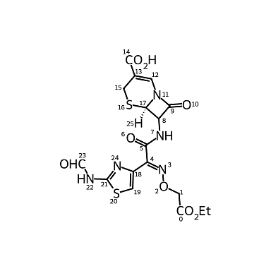 CCOC(=O)CON=C(C(=O)NC1C(=O)N2C=C(C(=O)O)CS[C@H]12)c1csc(NC=O)n1